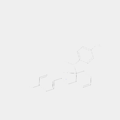 CCc1ccc(/C=C/C2C=CC=CC2(C)[S+]([O-])c2ccc(C)cc2)cc1